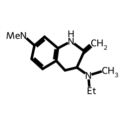 C=C1Nc2cc(NC)ccc2CC1N(C)CC